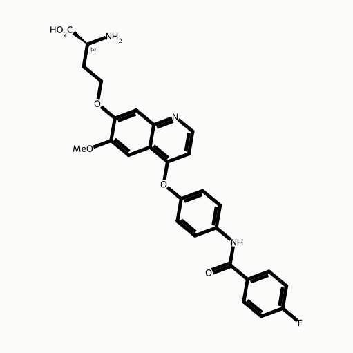 COc1cc2c(Oc3ccc(NC(=O)c4ccc(F)cc4)cc3)ccnc2cc1OCC[C@H](N)C(=O)O